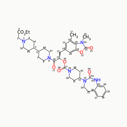 CCOC(=O)CN1CCC(C2CCN(C(=O)[C@@H](Cc3cc(C)c4c(c3)oc(=O)n4C)OC(=O)N3CCC(N4CCc5ccccc5NC4=O)CC3)CC2)CC1